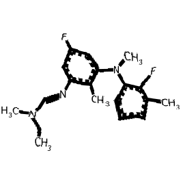 CCN(C)C=Nc1cc(F)cc(N(C)c2cccc(C)c2F)c1C